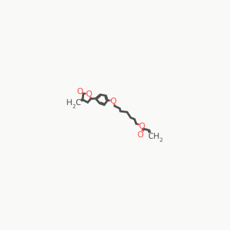 C=CC(=O)OCCCCCCCOc1ccc(C2CC(=C)C(=O)O2)cc1